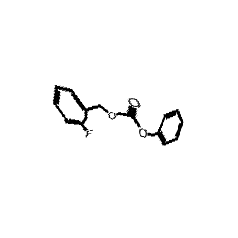 O=C(OCc1ccccc1F)Oc1ccccc1